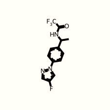 CC(NC(=O)C(F)(F)F)c1ccc(-n2cc(F)cn2)cc1